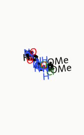 COc1cc(OC)c(Cl)c(NC(=O)N(C)c2cc(Nc3ccc4c(c3)OC[C@H]3CN(C)CC(=O)N43)ncn2)c1Cl